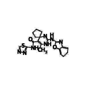 CC1=C(C(=O)Nc2nncs2)C2(CCCC2)N=C(Nc2nc3c(o2)=CCCC=3)N1